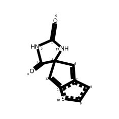 O=C1NC(=O)C2(C=c3ccsc3=C2)N1